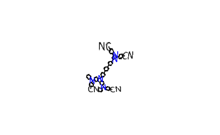 N#Cc1ccc(-c2cc(-c3ccc(-c4ccc(-c5ccc(-n6c7ccc(N(c8ccccc8)c8ccc(C#N)cc8)cc7c7cc(N(c8ccccc8)c8ccc(C#N)cc8)ccc76)cc5)cc4)cc3)nc(-c3ccc(C#N)cc3)n2)cc1